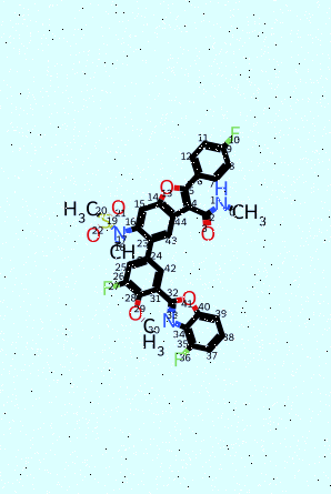 CNC(=O)c1c(-c2ccc(F)cc2)oc2cc(N(C)S(C)(=O)=O)c(-c3cc(F)c(OC)c(-c4nc5c(F)cccc5o4)c3)cc12